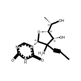 CC#CC1(N)[C@@H](O)[C@@H]([C@H](C)O)O[C@H]1n1cnc(=O)[nH]c1=O